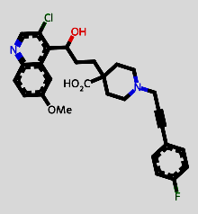 COc1ccc2ncc(Cl)c(C(O)CCC3(C(=O)O)CCN(CC#Cc4ccc(F)cc4)CC3)c2c1